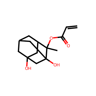 C=CC(=O)OC1(C)C2CC3CC(O)(C2)CC1(O)C3